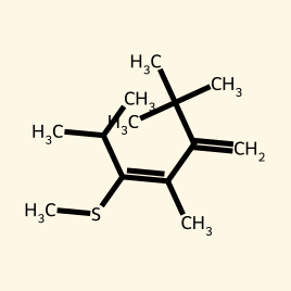 C=C(/C(C)=C(/SC)C(C)C)C(C)(C)C